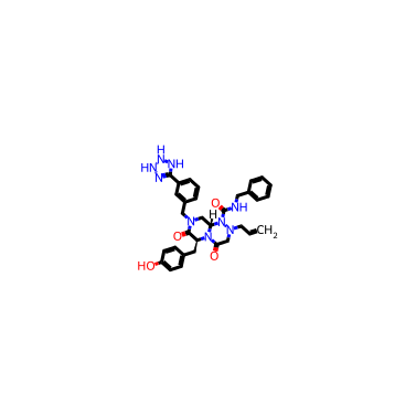 C=CCN1CC(=O)N2[C@@H](Cc3ccc(O)cc3)C(=O)N(Cc3cccc(C4=NNNN4)c3)C[C@@H]2N1C(=O)NCc1ccccc1